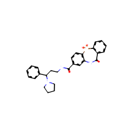 O=C(NCCC(c1ccccc1)N1CCCC1)c1ccc2c(c1)NC(=O)c1ccccc1S2(=O)=O